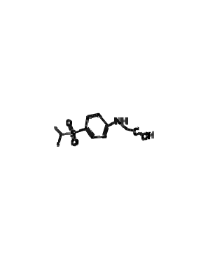 CC(C)S(=O)(=O)c1ccc(NCCO)cc1